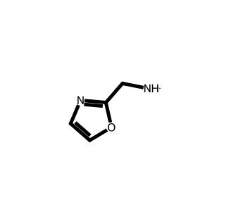 [NH]Cc1ncco1